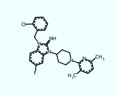 Cc1ccc(C)c(N2CCC(n3c(=N)n(Cc4ccccc4Cl)c4ccc(F)cc43)CC2)n1